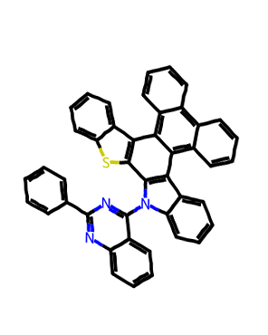 c1ccc(-c2nc(-n3c4ccccc4c4c5c6ccccc6c6ccccc6c5c5c6ccccc6sc5c43)c3ccccc3n2)cc1